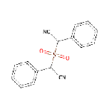 N#CC(c1ccccc1)S(=O)(=O)C(C#N)c1ccccc1